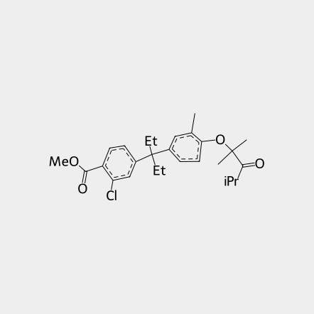 CCC(CC)(c1ccc(OC(C)(C)C(=O)C(C)C)c(C)c1)c1ccc(C(=O)OC)c(Cl)c1